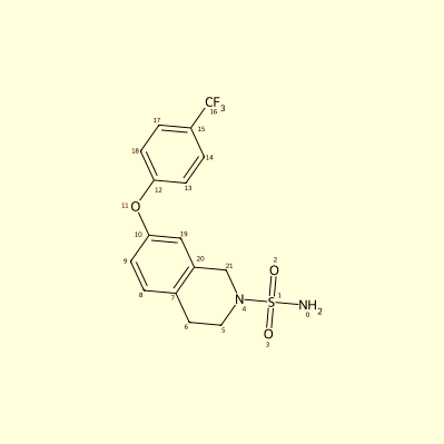 NS(=O)(=O)N1CCc2ccc(Oc3ccc(C(F)(F)F)cc3)cc2C1